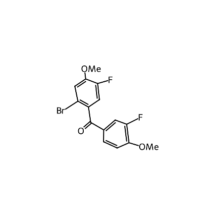 COc1ccc(C(=O)c2cc(F)c(OC)cc2Br)cc1F